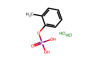 Cc1ccccc1OP(=O)(O)O.Cl.Cl